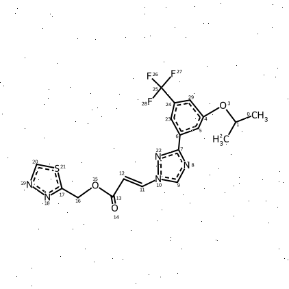 CC(C)Oc1cc(-c2ncn(C=CC(=O)OCc3nncs3)n2)cc(C(F)(F)F)c1